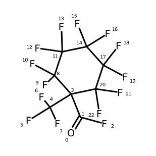 O=C(F)C1(C(F)(F)F)C(F)(F)C(F)(F)C(F)(F)C(F)(F)C1(F)F